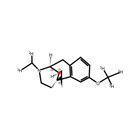 [2H]C([2H])N1CC[C@@]23CCCC[C@@H]2[C@@H]1Cc1ccc(OC([2H])([2H])[2H])cc13